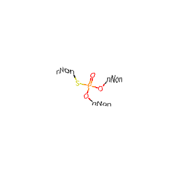 CCCCCCCCCOP(=O)(OCCCCCCCCC)SCCCCCCCCC